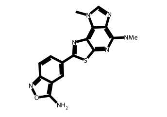 CNc1nc2sc(-c3ccc4noc(N)c4c3)nc2c2c1ncn2C